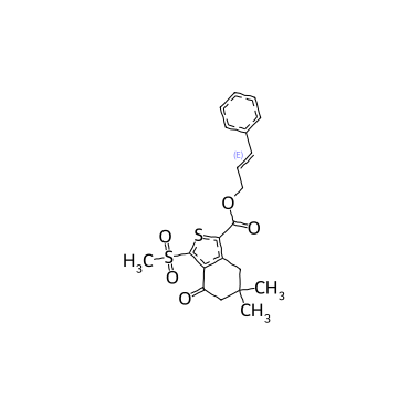 CC1(C)CC(=O)c2c(S(C)(=O)=O)sc(C(=O)OC/C=C/c3ccccc3)c2C1